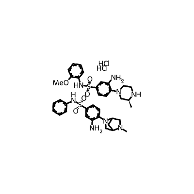 CN1CC2CC1CN2c1ccc(S(=O)(=O)Nc2ccccc2)cc1N.COc1ccccc1NS(=O)(=O)c1ccc(N2C[C@H](C)NC[C@H]2C)c(N)c1.Cl.Cl